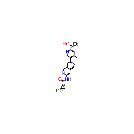 CC[C@H](O)c1cc(C)c(-c2cc3cnc(NC(=O)[C@H]4C[C@H]4F)cc3cn2)cn1